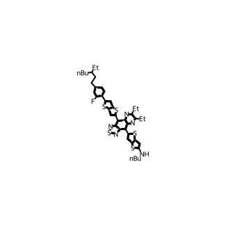 CCCCNc1cc2sc(-c3c4nsnc4c(-c4cc5sc(-c6ccc(CCC(CC)CCCC)cc6F)cc5s4)c4nc(CC)c(CC)nc34)cc2s1